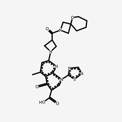 Cc1cc(N2CC(C(=O)N3CC4(CCCCO4)C3)C2)nc2c1c(=O)c(C(=O)O)cn2-c1ncns1